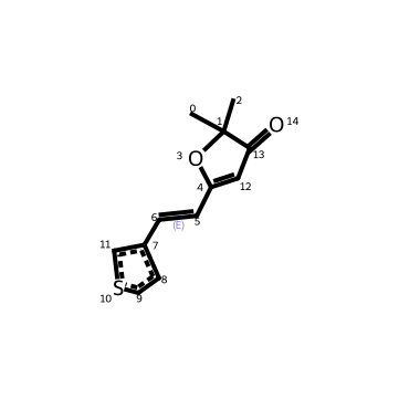 CC1(C)OC(/C=C/c2ccsc2)=CC1=O